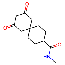 CNC(=O)C1CCC2(CC1)CC(=O)CC(=O)C2